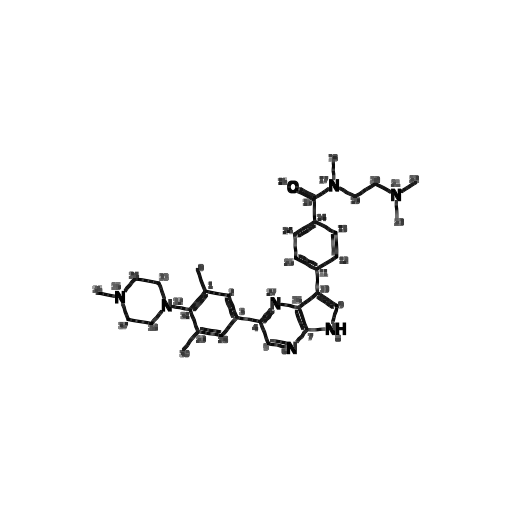 Cc1cc(-c2cnc3[nH]cc(-c4ccc(C(=O)N(C)CCN(C)C)cc4)c3n2)cc(C)c1N1CCN(C)CC1